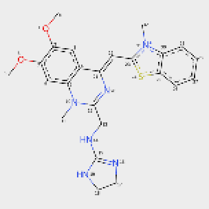 COc1cc2c(cc1OC)N(C)C(CNC1=NCCN1)=NC2=Cc1sc2ccccc2[n+]1C